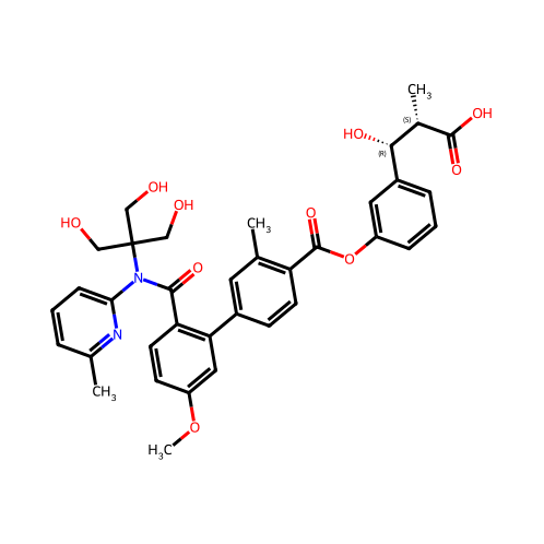 COc1ccc(C(=O)N(c2cccc(C)n2)C(CO)(CO)CO)c(-c2ccc(C(=O)Oc3cccc([C@H](O)[C@H](C)C(=O)O)c3)c(C)c2)c1